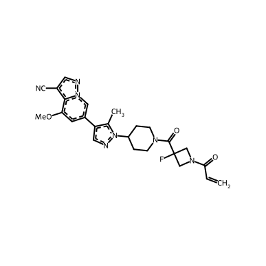 C=CC(=O)N1CC(F)(C(=O)N2CCC(n3ncc(-c4cc(OC)c5c(C#N)cnn5c4)c3C)CC2)C1